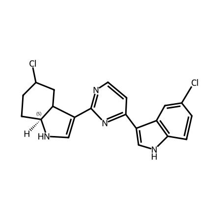 Clc1ccc2[nH]cc(-c3ccnc(C4=CN[C@H]5CCC(Cl)CC45)n3)c2c1